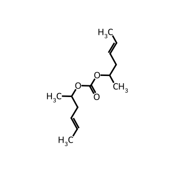 CC=CCC(C)OC(=O)OC(C)CC=CC